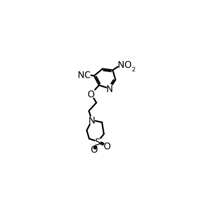 N#Cc1cc([N+](=O)[O-])cnc1OCCN1CCS(=O)(=O)CC1